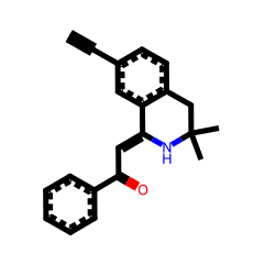 C#Cc1ccc2c(c1)/C(=C/C(=O)c1ccccc1)NC(C)(C)C2